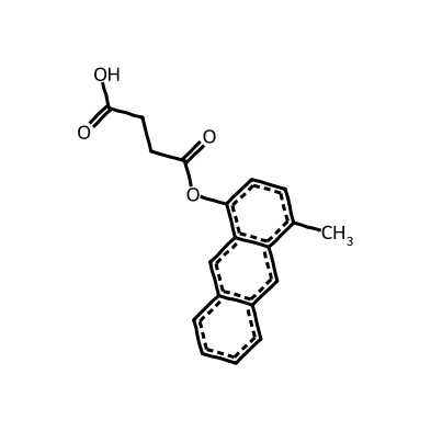 Cc1ccc(OC(=O)CCC(=O)O)c2cc3ccccc3cc12